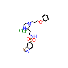 O=S(=O)(NCCC1(Cl)CN(CCCOc2ccccc2)CCN1Cl)c1ccc2ncsc2c1